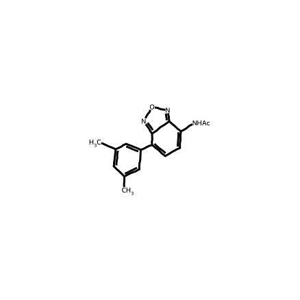 CC(=O)Nc1ccc(-c2cc(C)cc(C)c2)c2nonc12